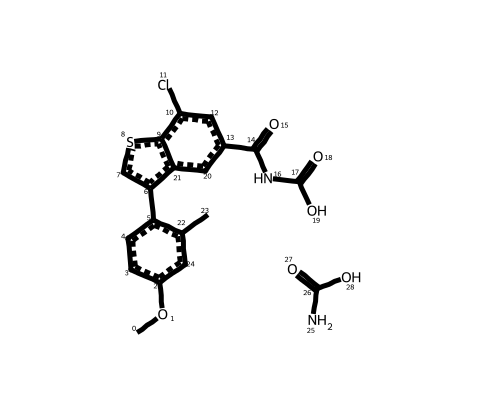 COc1ccc(-c2csc3c(Cl)cc(C(=O)NC(=O)O)cc23)c(C)c1.NC(=O)O